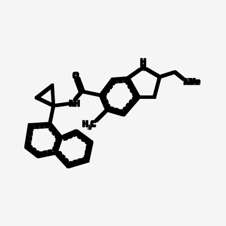 CNCC1Cc2cc(C)c(C(=O)NC3(c4cccc5ccccc45)CC3)cc2N1